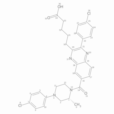 C[C@@H]1CN(c2ccc(Cl)cc2)CCN1C(=O)c1ccc2nc(-c3ccc(Cl)cc3)c(CCCCC(=O)O)nc2c1